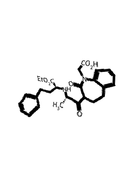 CCOC(=O)[C@H](CCc1ccccc1)N[C@@H](C)C(=O)C1CCc2ccccc2N(CC(=O)O)C1=O